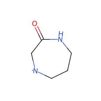 O=C1C[N]CCCN1